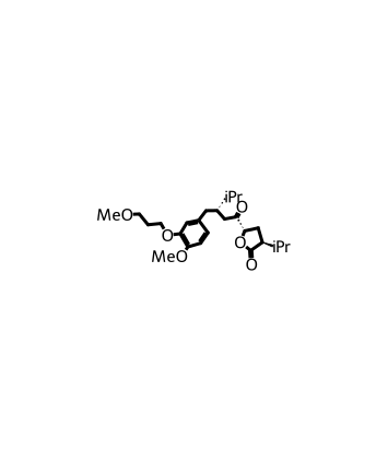 COCCCOc1cc(C[C@@H](CC(=O)[C@@H]2C[C@@H](C(C)C)C(=O)O2)C(C)C)ccc1OC